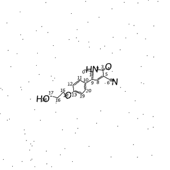 Cc1[nH]c(=O)c(C#N)cc1-c1ccc(OCCCO)cc1